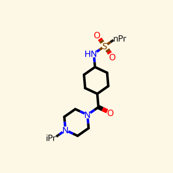 CCCS(=O)(=O)NC1CCC(C(=O)N2CCN(C(C)C)CC2)CC1